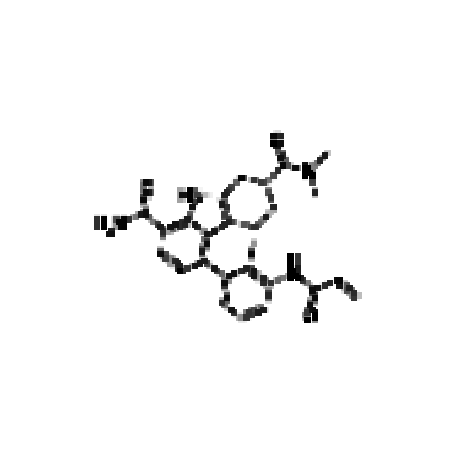 C=CC(=O)Nc1cccc(-c2ccc(C(N)=O)c3[nH]c4c(c23)CCC(C(=O)N(C)C)C4)c1C